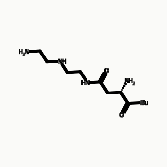 CCC(C)C(=O)[C@@H](N)CC(=O)NCCNCCN